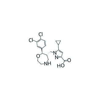 O=C(O)c1cc(C2CC2)n(C[C@@H]2CNCCO[C@H]2c2ccc(Cl)c(Cl)c2)n1